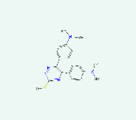 CCCN(CCC)c1ccc(-c2nnc(SCC)nc2-c2ccc(N(CCC)CCC)cc2)cc1